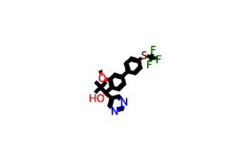 COc1cc(-c2ccc(SC(F)(F)F)cc2)ccc1C(O)(c1cncnc1)C(C)(C)C